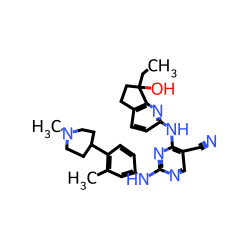 CCC1(O)CCc2ccc(Nc3nc(Nc4ccc(C5CCN(C)CC5)c(C)c4)ncc3C#N)nc21